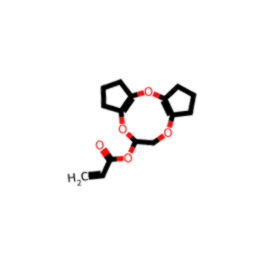 C=CC(=O)OC1COC2=C(CCC2)OC2=C(CCC2)O1